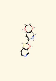 [c]1cc2c(cn1)OC(c1cc3c(cn1)OCCO3)S2